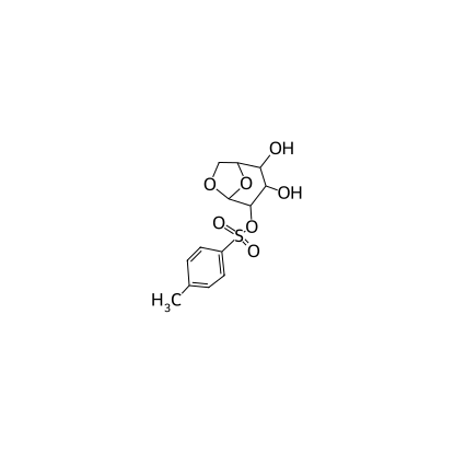 Cc1ccc(S(=O)(=O)OC2C3OCC(O3)C(O)C2O)cc1